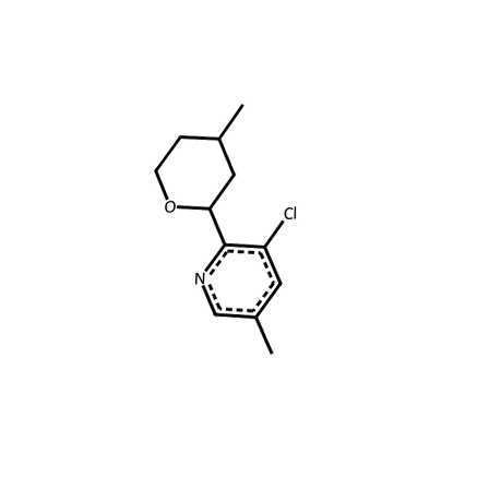 Cc1cnc(C2CC(C)CCO2)c(Cl)c1